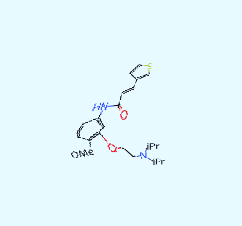 COc1ccc(NC(=O)C=Cc2ccsc2)cc1OCCN(C(C)C)C(C)C